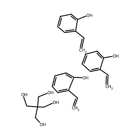 C=Cc1ccccc1O.C=Cc1ccccc1O.C=Cc1ccccc1O.OCC(CO)(CO)CO